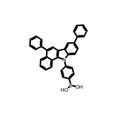 OB(O)c1ccc(-n2c3ccc(-c4ccccc4)cc3c3cc(-c4ccccc4)c4ccccc4c32)cc1